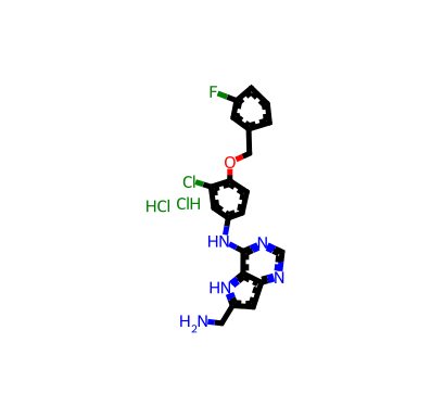 Cl.Cl.NCc1cc2ncnc(Nc3ccc(OCc4cccc(F)c4)c(Cl)c3)c2[nH]1